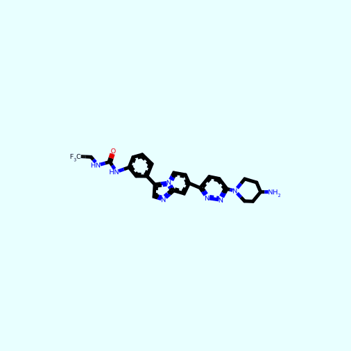 NC1CCN(c2ccc(-c3ccn4c(-c5cccc(NC(=O)NCC(F)(F)F)c5)cnc4c3)nn2)CC1